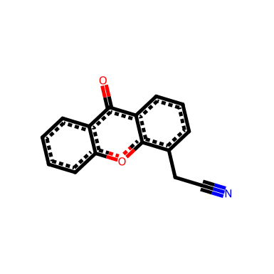 N#CCc1cccc2c(=O)c3ccccc3oc12